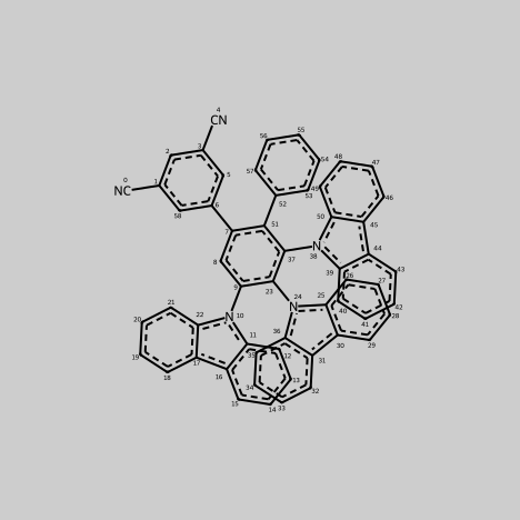 N#Cc1cc(C#N)cc(-c2cc(-n3c4ccccc4c4ccccc43)c(-n3c4ccccc4c4ccccc43)c(-n3c4ccccc4c4ccccc43)c2-c2ccccc2)c1